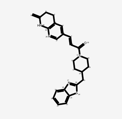 C=C1CCc2cc(/C=C/C(=O)N3CCC(Cc4nc5ccccc5s4)CC3)cnc2N1